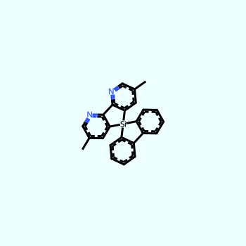 Cc1cnc2c(c1)[Si]1(c3ccccc3-c3ccccc31)c1cc(C)cnc1-2